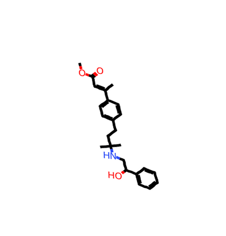 COC(=O)C=C(C)c1ccc(CCC(C)(C)NCC(O)c2ccccc2)cc1